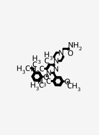 COc1ccc(C)c(C2N=C(N3CCN(CC(N)=O)CC3)C(C)=C(C)N2Oc2cc(C(C)C)ccc2C)c1